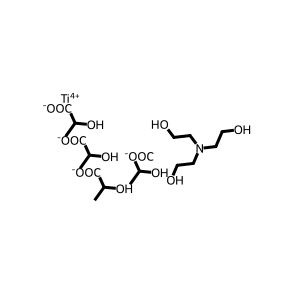 CC(O)C(=O)[O-].CC(O)C(=O)[O-].CC(O)C(=O)[O-].CC(O)C(=O)[O-].OCCN(CCO)CCO.[Ti+4]